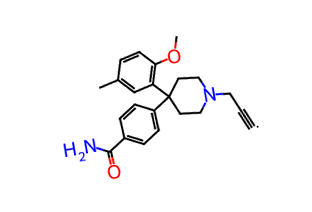 [C]#CCN1CCC(c2ccc(C(N)=O)cc2)(c2cc(C)ccc2OC)CC1